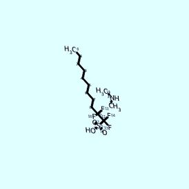 CCCCCCCCCC(F)(F)C(F)(F)S(=O)(=O)O.CNC